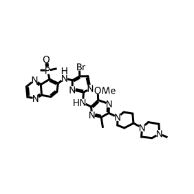 COc1nc(N2CCC(N3CCN(C)CC3)CC2)c(C)nc1Nc1ncc(Br)c(Nc2ccc3nccnc3c2P(C)(C)=O)n1